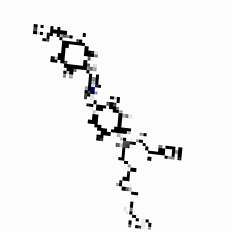 N#CCCOCCN(CCC#N)c1ccc(/N=N/c2ccc([N+](=O)[O-])cc2)cc1